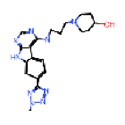 Cn1nnc(-c2ccc3c(c2)[nH]c2ncnc(NCCCN4CCC(O)CC4)c23)n1